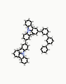 c1ccc(-c2cccc(-c3cccc(-c4cc5c6ccccc6n6c7ccc(-c8ccc9c(c8)c8cccc%10c%11ccccc%11n9c%108)cc7c(c4)c56)c3)c2)cc1